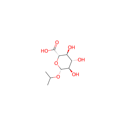 CC(C)O[C@@H]1O[C@H](C(=O)O)[C@@H](O)[C@H](O)[C@H]1O